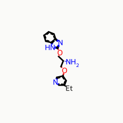 CCc1cncc(OC[C@@H](N)COc2nc3ccccc3[nH]2)c1